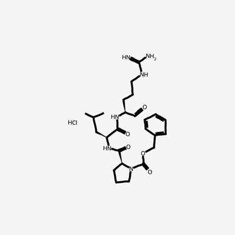 CC(C)C[C@H](NC(=O)[C@@H]1CCCN1C(=O)OCc1ccccc1)C(=O)N[C@H](C=O)CCCNC(=N)N.Cl